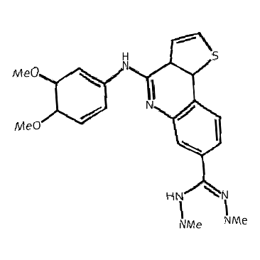 CN/N=C(\NNC)c1ccc2c(c1)N=C(NC1=CC(OC)C(OC)C=C1)C1C=CSC21